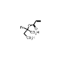 C=CC(=O)OC(CC(=O)O)(C(=O)O)C(C)C